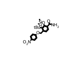 C[SiH](C)Oc1c(C(N)=O)ccc(COc2ccc([N+](=O)[O-])cc2)c1C(C)(C)C